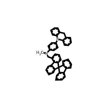 CN(Cc1cccc2c1-c1ccccc1C21c2ccccc2-c2ccccc21)c1ccc(N2c3ccccc3Cc3ccccc32)cc1